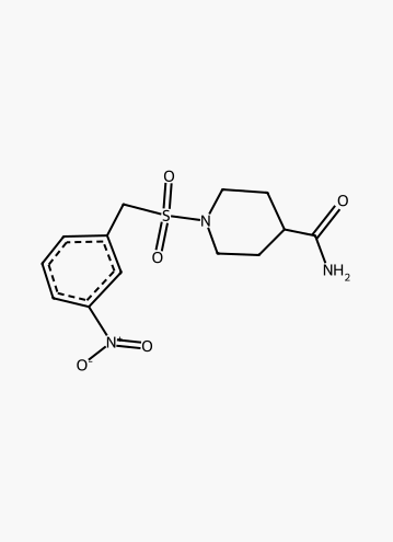 NC(=O)C1CCN(S(=O)(=O)Cc2cccc([N+](=O)[O-])c2)CC1